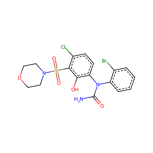 NC(=O)N(c1ccccc1Br)c1ccc(Cl)c(S(=O)(=O)N2CCOCC2)c1O